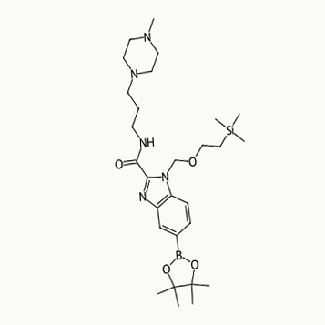 CN1CCN(CCCNC(=O)c2nc3cc(B4OC(C)(C)C(C)(C)O4)ccc3n2COCC[Si](C)(C)C)CC1